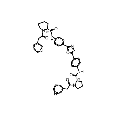 O=C(Nc1ccc(-c2nnc(-c3ccc(NC(=O)[C@@H]4CCCN4C(=O)Cc4cccnc4)cc3)o2)cc1)[C@@H]1CCCCN1C(=O)Cc1cccnc1